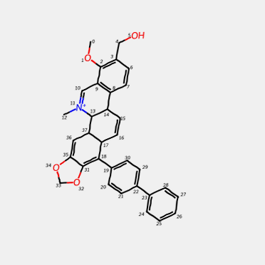 COc1c(CO)ccc2c1C=[N+](C)C1C2C=CC2C(c3ccc(-c4ccccc4)cc3)=C3OCOC3=CC21